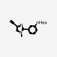 C#Cc1[c]n(C)c(-c2cccc(CCCCCC)c2)n1